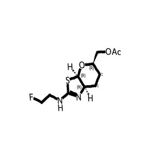 CC(=O)OC[C@H]1[C][C][C@H]2N=C(NCCF)S[C@H]2O1